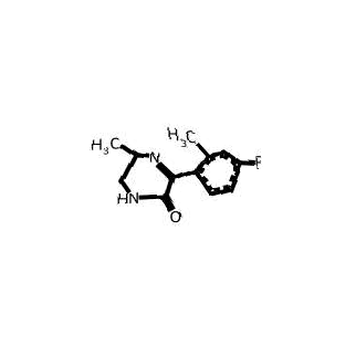 Cc1cc(F)ccc1C1=NC(C)CNC1=O